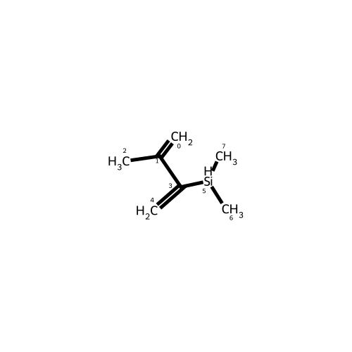 C=C(C)C(=C)[SiH](C)C